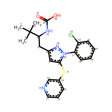 CC(C)(C)C(Cc1cc(Sc2cccnc2)n(-c2ccccc2Cl)n1)NC(=O)O